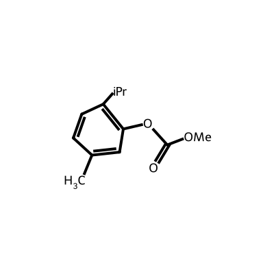 COC(=O)Oc1cc(C)ccc1C(C)C